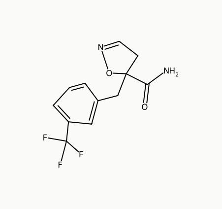 NC(=O)C1(Cc2cccc(C(F)(F)F)c2)CC=NO1